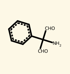 NC(C=O)(C=O)c1ccccc1